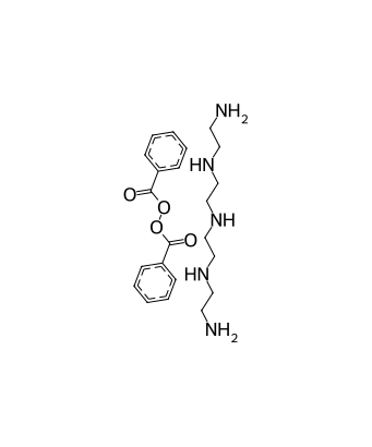 NCCNCCNCCNCCN.O=C(OOC(=O)c1ccccc1)c1ccccc1